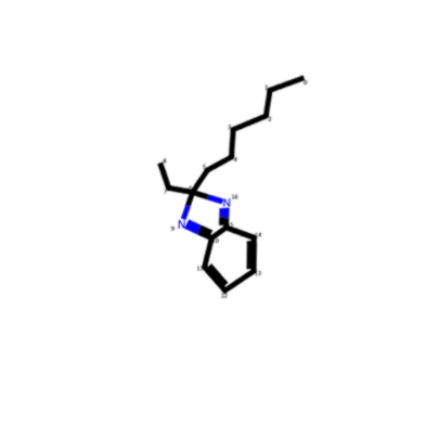 CCCCCCC1(CC)N=c2ccccc2=N1